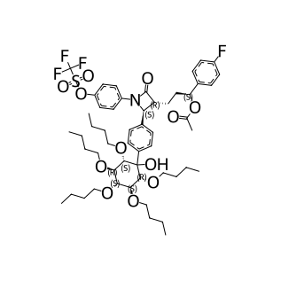 CCCCO[C@@H]1[C@@H](OCCCC)[C@H](OCCCC)C(O)(c2ccc([C@@H]3[C@@H](CC[C@H](OC(C)=O)c4ccc(F)cc4)C(=O)N3c3ccc(OS(=O)(=O)C(F)(F)F)cc3)cc2)[C@H](OCCCC)[C@H]1OCCCC